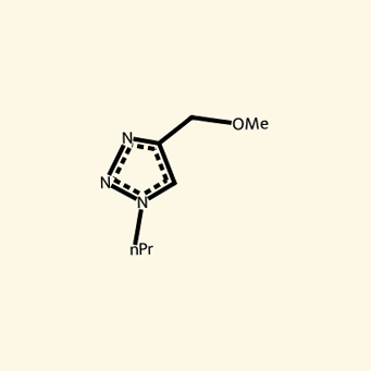 CCCn1cc(COC)nn1